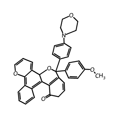 COc1ccc(C2(c3ccc(N4CCOCC4)cc3)OC3C4=CC=COC4=c4ccccc4=C3C3=C2C=CCC3=O)cc1